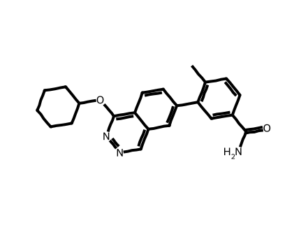 Cc1ccc(C(N)=O)cc1-c1ccc2c(OC3CCCCC3)nncc2c1